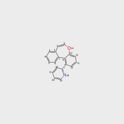 C1=Cc2ccccc2-c2ccccc2O1.c1ccncc1